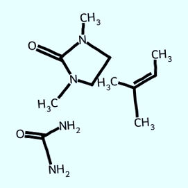 CC=C(C)C.CN1CCN(C)C1=O.NC(N)=O